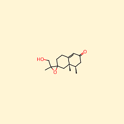 C[C@@H]1CC(=O)C=C2CCC3(C[C@]21C)OC3(C)CO